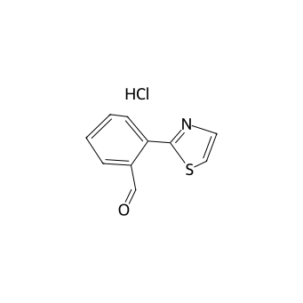 Cl.O=Cc1ccccc1-c1nccs1